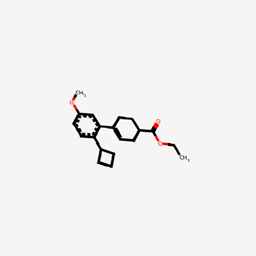 CCOC(=O)C1CC=C(c2cc(OC)ccc2C2CCC2)CC1